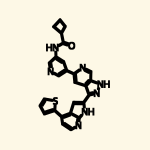 O=C(Nc1cncc(-c2cc3c(-c4cc5c(-c6cccs6)ccnc5[nH]4)n[nH]c3cn2)c1)C1CCC1